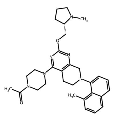 CC(=O)N1CCN(c2nc(OC[C@@H]3CCCN3C)nc3c2CCN(c2cccc4cccc(C)c24)C3)CC1